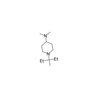 CCC(C)(CC)N1CCC(N(C)C)CC1